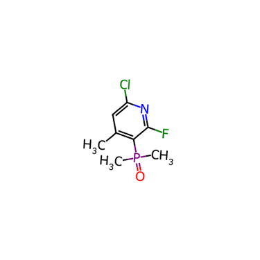 Cc1cc(Cl)nc(F)c1P(C)(C)=O